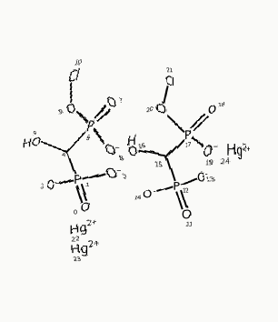 O=P([O-])([O-])C(O)P(=O)([O-])OCl.O=P([O-])([O-])C(O)P(=O)([O-])OCl.[Hg+2].[Hg+2].[Hg+2]